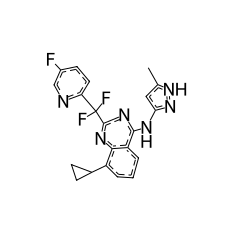 Cc1cc(Nc2nc(C(F)(F)c3ccc(F)cn3)nc3c(C4CC4)cccc23)n[nH]1